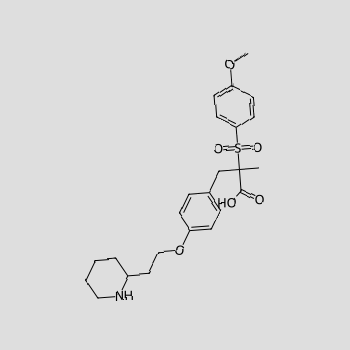 COc1ccc(S(=O)(=O)C(C)(Cc2ccc(OCCC3CCCCN3)cc2)C(=O)O)cc1